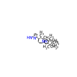 CC(C)/C(=N\C=N)C1=CC=C2NC(C)(c3cc4c(cc32)C(C)(C)C(C)(C)C4(C)C)C1C